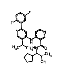 CC(C)c1cnc(-c2cc(F)ccc2F)cc1Nc1ccncc1C(=O)NC(C1CCCC1)[C@H](C)O